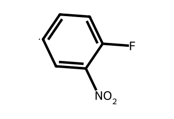 O=[N+]([O-])c1c[c]ccc1F